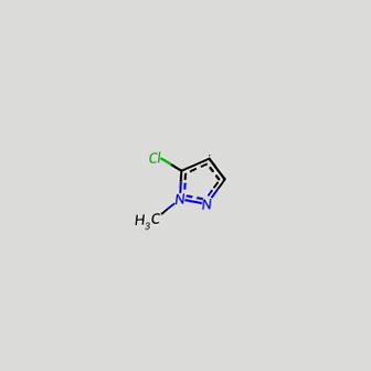 Cn1nc[c]c1Cl